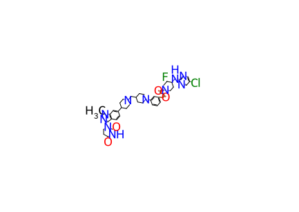 Cn1nc(N2CCC(=O)NC2=O)c2ccc(C3CCN(CC4CCN(c5cccc(S(=O)(=O)N6CC[C@H](Nc7ncc(Cl)cn7)[C@H](F)C6)c5)CC4)CC3)cc21